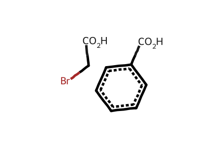 O=C(O)CBr.O=C(O)c1ccccc1